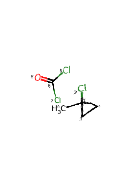 CC1(Cl)CC1.O=C(Cl)Cl